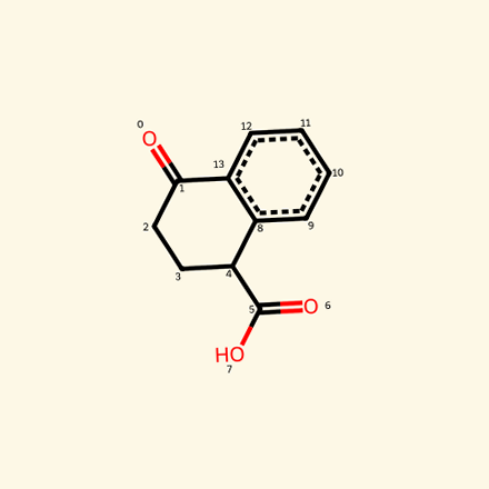 O=C1CCC(C(=O)O)c2ccccc21